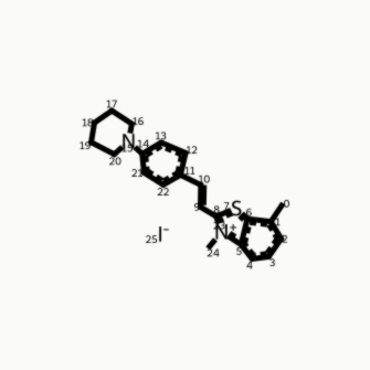 Cc1cccc2c1sc(C=Cc1ccc(N3CCCCC3)cc1)[n+]2C.[I-]